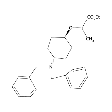 CCOC(=O)C(C)O[C@H]1CC[C@H](N(Cc2ccccc2)Cc2ccccc2)CC1